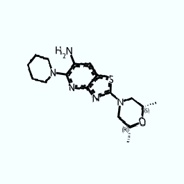 C[C@@H]1CN(c2nc3nc(N4CCCCC4)c(N)cc3s2)C[C@H](C)O1